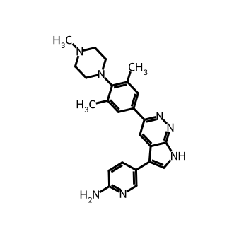 Cc1cc(-c2cc3c(-c4ccc(N)nc4)c[nH]c3nn2)cc(C)c1N1CCN(C)CC1